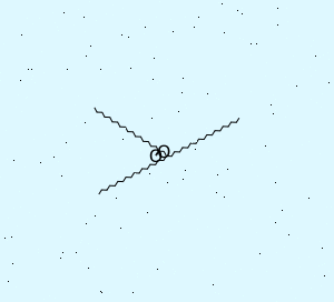 CCCCCCCCCCCCCCCCCCC(CCCCCCCCCCCCCCCCC)OC(=O)CCCCCCCCCCCCCCCCC